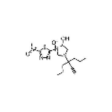 C#CC(CCC)(CCC)N1CC(O)[N+]([O-])(c2nnc([S+](C)[O-])s2)C1